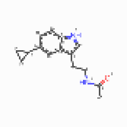 CC(=O)NCCc1c[nH]c2ccc(C3CC3)cc12